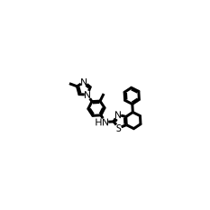 Cc1cn(-c2ccc(Nc3nc4c(s3)CCCC4c3ccccc3)cc2C)cn1